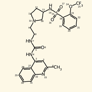 Cc1cc(NC(=O)NCCN2CCC(NS(=O)(=O)c3ccccc3OC(F)(F)F)C2)c2ccccc2n1